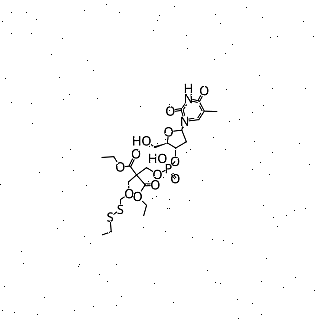 CCOC(=O)C(COCSSCC)(COP(=O)(O)OC1C[C@H](n2cc(C)c(=O)[nH]c2=O)O[C@@H]1CO)C(=O)OCC